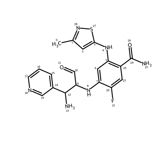 Cc1cc(Nc2cc(NC(C=O)C(N)c3cccnc3)c(F)cc2C(N)=O)sn1